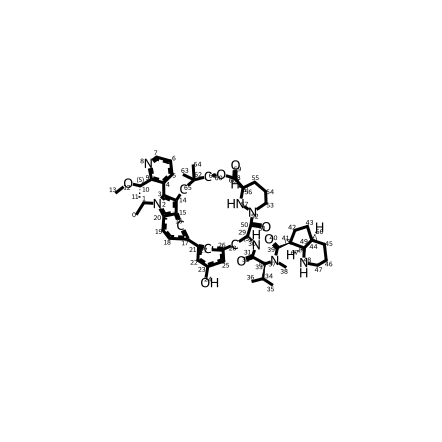 CCn1c(-c2cccnc2[C@H](C)OC)c2c3cc(ccc31)-c1cc(O)cc(c1)C[C@H](NC(=O)[C@H](C(C)C)N(C)C(=O)[C@H]1CC[C@H]3CCCN[C@H]31)C(=O)N1CCC[C@H](N1)C(=O)OCC(C)(C)C2